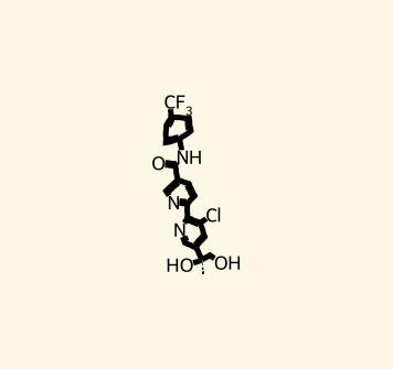 C[C@@](O)(CO)c1cnc(-c2ccc(C(=O)Nc3ccc(C(F)(F)F)cc3)cn2)c(Cl)c1